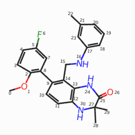 COc1ccc(F)cc1-c1ccc2c(c1CNc1cccc(C)c1)NC(=O)C(C)(C)N2